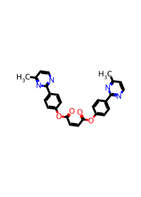 Cc1ccnc(-c2ccc(OC(=O)/C=C\C(=O)Oc3ccc(-c4nccc(C)n4)cc3)cc2)n1